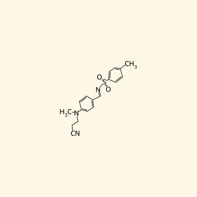 Cc1ccc(S(=O)(=O)N=Cc2ccc(N(C)CCC#N)cc2)cc1